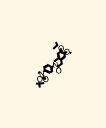 COc1cc2c(cc1OC(C)C)CN(c1ccc(N(C)C(=O)OC(C)(C)C)cc1)C(=O)C2